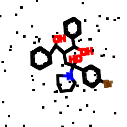 OC(c1ccccc1)C(CC(O)(c1ccc(Br)cc1)N1CCCCC1)C(O)c1ccccc1